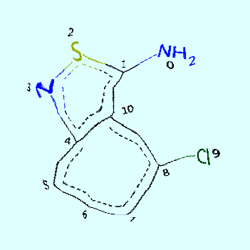 Nc1snc2cccc(Cl)c12